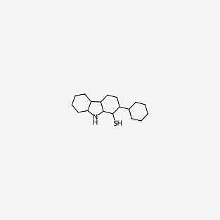 SC1C(C2CCCCC2)CCC2C3CCCCC3NC12